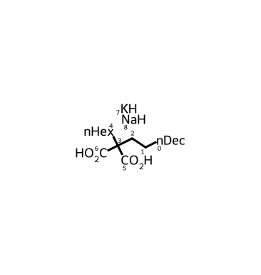 CCCCCCCCCCCCC(CCCCCC)(C(=O)O)C(=O)O.[KH].[NaH]